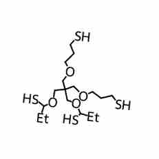 CCC(S)OCC(COCCCS)(COCCCS)COC(S)CC